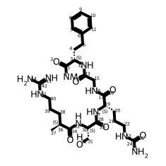 CNC(=O)[C@H](CCc1ccccc1)NC(=O)CNC(=O)[C@H](CCCNC(N)=O)NC(=O)[C@H](CO)NC(=O)[C@@H](C)CCCNC(=N)N